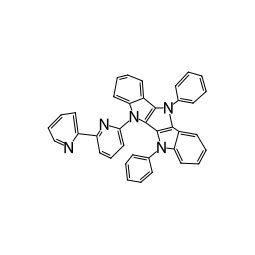 c1ccc(-n2c3ccccc3c3c2c2c(c4ccccc4n2-c2cccc(-c4ccccn4)n2)n3-c2ccccc2)cc1